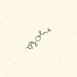 Cc1csc(NC(=O)C2CCN(C(=O)/C=C/CN(C)C)CC2)c1